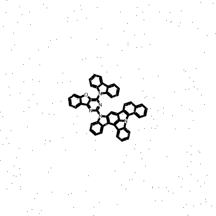 c1ccc2c(c1)ccc1c3cc4c(c5ccccc5n4-c4nc(-n5c6ccccc6c6ccccc65)c5oc6ccccc6c5n4)c4c5ccccc5n(c21)c34